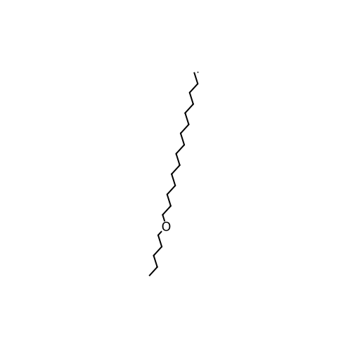 [CH2]CCCCCCCCCCCCCCOCCCCC